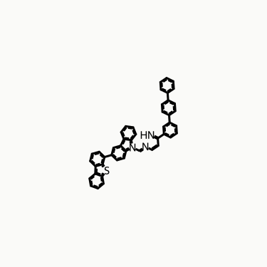 N=C(/C=C\N=C\n1c2ccccc2c2cc(-c3cccc4c3sc3ccccc34)ccc21)c1cccc(-c2ccc(-c3ccccc3)cc2)c1